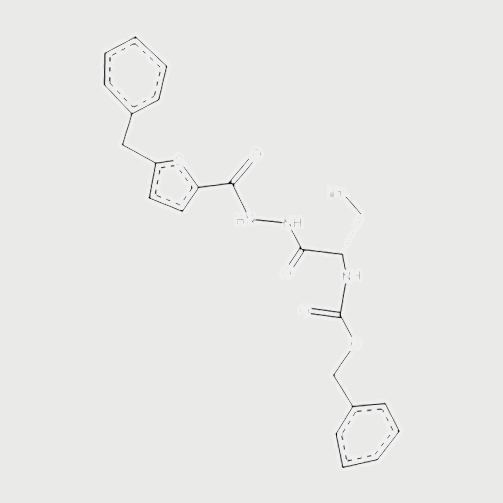 CC(C)C[C@H](NC(=O)OCc1ccccc1)C(=O)NNC(=O)c1ccc(Cc2ccccc2)s1